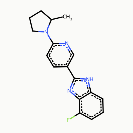 CC1CCCN1c1ccc(-c2nc3c(F)cccc3[nH]2)cn1